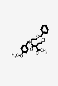 COc1ccc(CN(CCOCc2ccccc2)C(=O)C(CCCl)C(C)=O)cc1